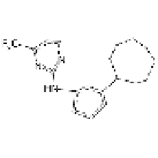 FC(F)(F)c1ccnc(Nc2cccc(C3CCCCCCC3)c2)n1